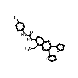 CCc1c(NC(=O)Nc2ccc(Br)cc2)ccc2nc(-c3ccco3)c(-c3ccco3)nc12